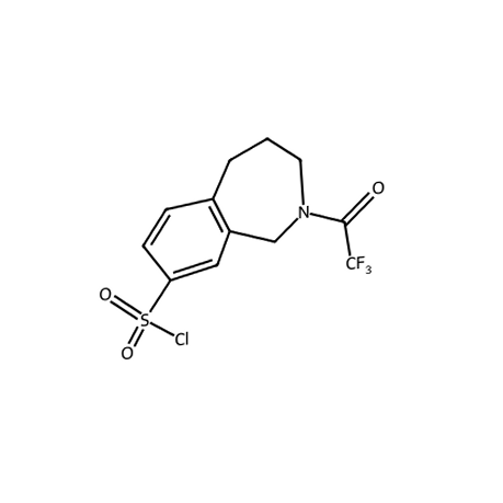 O=C(N1CCCc2ccc(S(=O)(=O)Cl)cc2C1)C(F)(F)F